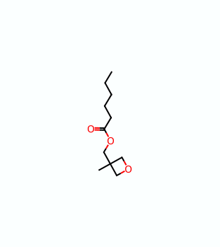 CCCCCC(=O)OCC1(C)COC1